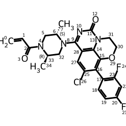 C=CC(=O)N1C[C@H](C)N(c2nc(=O)n3c4c(c(-c5ccc(F)cc5F)c(Cl)cc24)OCC3)C[C@H]1C